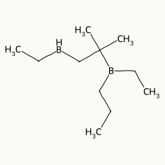 CCBCC(C)(C)B(CC)CCC